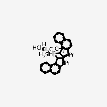 CCCC1=Cc2ccc3ccccc3c2[CH]1[Hf]([CH3])([CH3])(=[SiH2])[CH]1C(CCC)=Cc2ccc3ccccc3c21.Cl.Cl